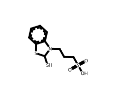 O=S(=O)(O)CCCN1c2ccccc2SC1S